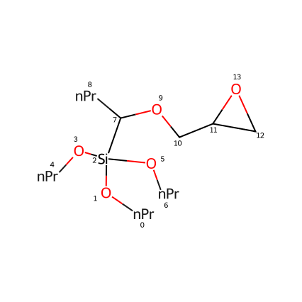 CCCO[Si](OCCC)(OCCC)C(CCC)OCC1CO1